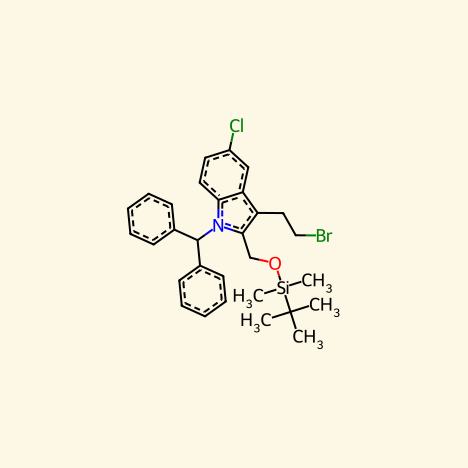 CC(C)(C)[Si](C)(C)OCc1c(CCBr)c2cc(Cl)ccc2n1C(c1ccccc1)c1ccccc1